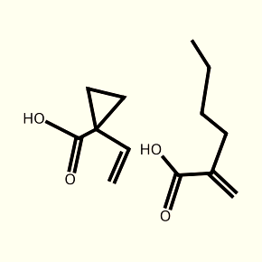 C=C(CCCC)C(=O)O.C=CC1(C(=O)O)CC1